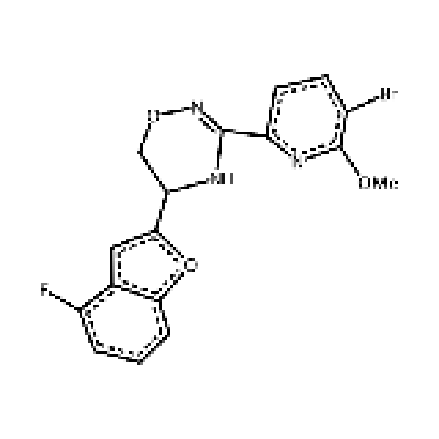 COc1nc(C2=NOCC(c3cc4c(F)cccc4o3)N2)ccc1Br